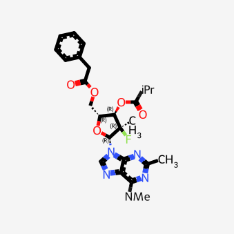 CNc1nc(C)nc2c1ncn2[C@@H]1O[C@H](COC(=O)Cc2ccccc2)[C@@H](OC(=O)C(C)C)[C@@]1(C)F